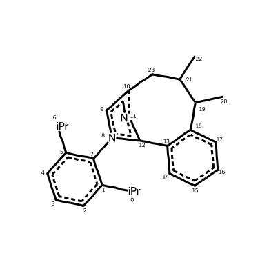 CC(C)c1cccc(C(C)C)c1-n1cc2nc1-c1ccccc1C(C)C(C)C2